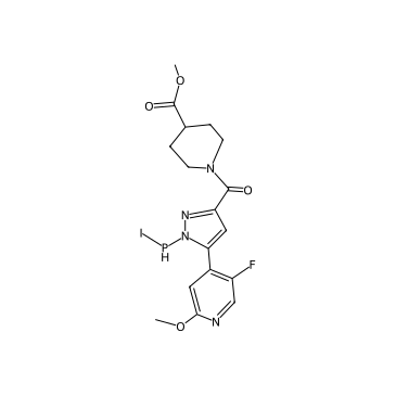 COC(=O)C1CCN(C(=O)c2cc(-c3cc(OC)ncc3F)n(PI)n2)CC1